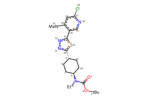 CCN(C(=O)OC(C)(C)C)[C@H]1CC[C@H](c2nnc(-c3cnc(Cl)cc3NC)s2)CC1